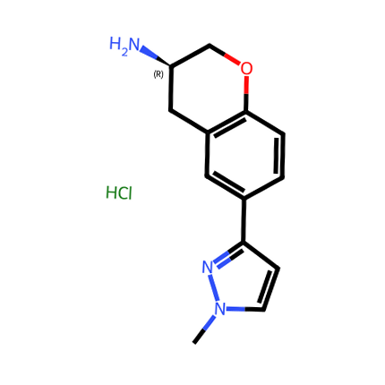 Cl.Cn1ccc(-c2ccc3c(c2)C[C@@H](N)CO3)n1